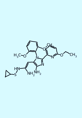 CCOc1cccc(-c2nc(N)c(/C=C(\N)NSC3CC3)n2-c2c(OC)cccc2OC)n1